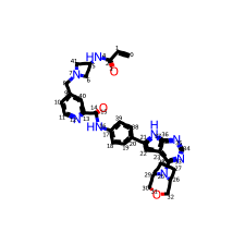 C=CC(=O)NC1CN(Cc2ccnc(C(=O)Nc3ccc(-c4cc5c(N6C7CCC6COC7)ncnc5[nH]4)cc3)c2)C1